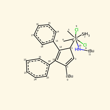 CCCCC1=C[CH]([Ti]([CH3])([CH3])([SiH3])([Cl])([Cl])[NH]C(C)(C)C)C(c2ccccc2)=C1c1ccccc1